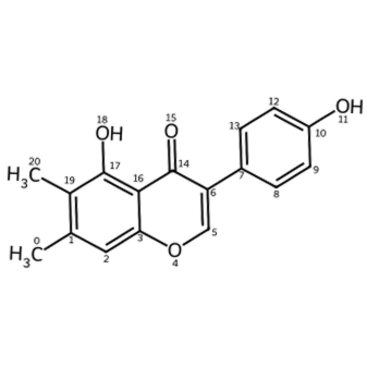 Cc1cc2occ(-c3ccc(O)cc3)c(=O)c2c(O)c1C